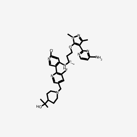 Cc1nn(C)c(OCC[C@H](C)Nc2cc(Cl)ncc2-c2ncc(CN3CCC(C(C)(C)O)CC3)cc2F)c1-c1nccc(N)n1